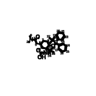 CN(C)C(=O)C[C@H]1CC[C@@H](O[Si](c2ccccc2)(c2ccccc2)C(C)(C)C)[C@](NC(=O)O)(C(C)(C)C)C1